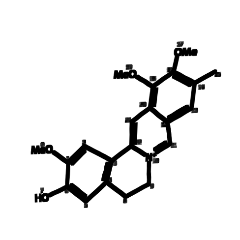 COc1cc2c(cc1O)CC[n+]1cc3cc(C)c(OC)c(OC)c3cc1-2